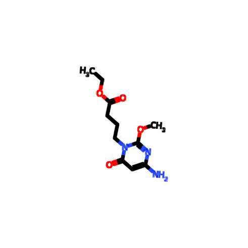 CCOC(=O)CCCn1c(OC)nc(N)cc1=O